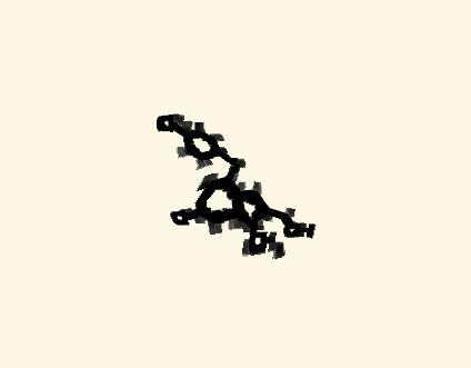 Cn1c(CO)cc2c(Sc3ccc(Cl)cc3)cc(Cl)cc21